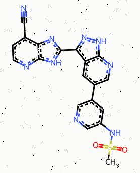 CS(=O)(=O)Nc1cncc(-c2cnc3[nH]nc(-c4nc5c(C#N)ccnc5[nH]4)c3c2)c1